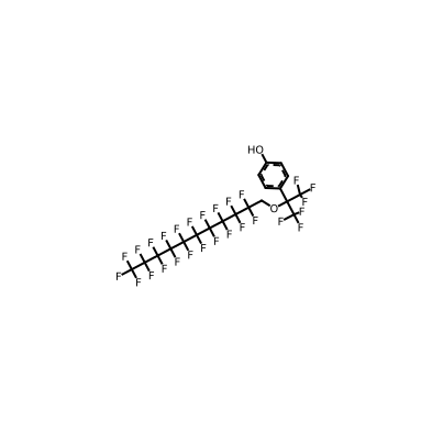 Oc1ccc(C(OCC(F)(F)C(F)(F)C(F)(F)C(F)(F)C(F)(F)C(F)(F)C(F)(F)C(F)(F)C(F)(F)C(F)(F)F)(C(F)(F)F)C(F)(F)F)cc1